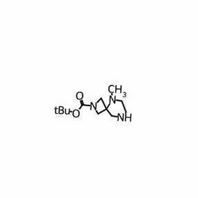 CN1CCNCC12CN(C(=O)OC(C)(C)C)C2